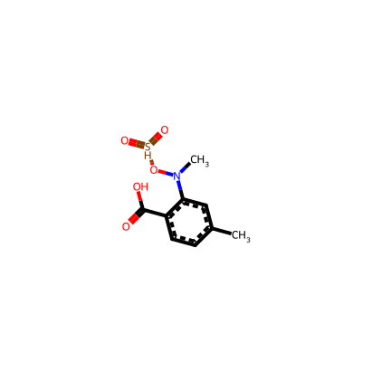 Cc1ccc(C(=O)O)c(N(C)O[SH](=O)=O)c1